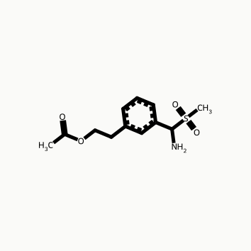 CC(=O)OCCc1cccc(C(N)S(C)(=O)=O)c1